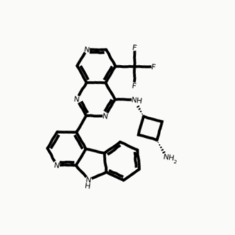 N[C@H]1C[C@@H](Nc2nc(-c3ccnc4[nH]c5ccccc5c34)nc3cncc(C(F)(F)F)c23)C1